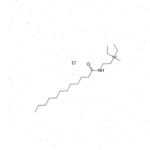 CCCCCCCCCCCC(=O)NCC[N+](C)(CC)CC.[Cl-]